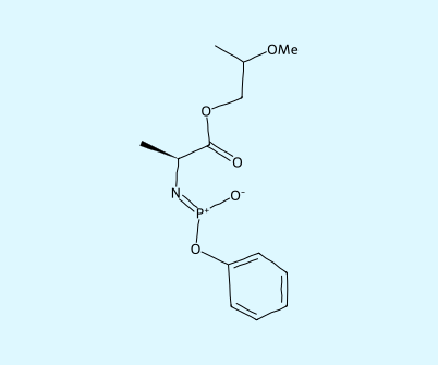 COC(C)COC(=O)[C@H](C)N=[P+]([O-])Oc1ccccc1